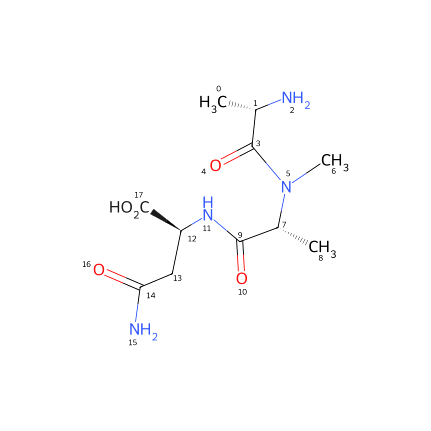 C[C@H](N)C(=O)N(C)[C@H](C)C(=O)N[C@@H](CC(N)=O)C(=O)O